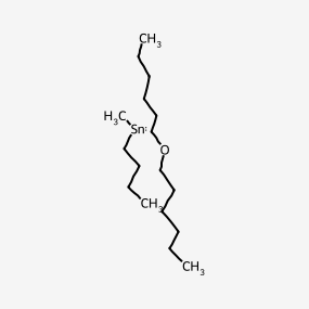 CCCCCCOCCCCCC.CCC[CH2][Sn][CH3]